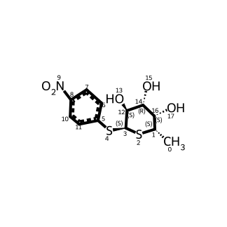 C[C@@H]1S[C@@H](Sc2ccc([N+](=O)[O-])cc2)[C@@H](O)[C@H](O)[C@@H]1O